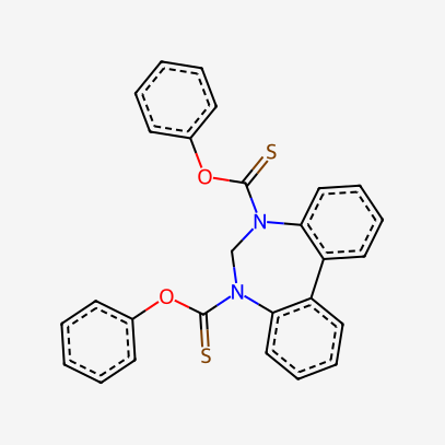 S=C(Oc1ccccc1)N1CN(C(=S)Oc2ccccc2)c2ccccc2-c2ccccc21